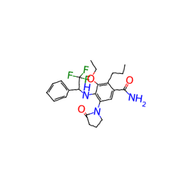 CCCc1c(C(N)=O)cc(N2CCCC2=O)c(NC(c2ccccc2)C(F)(F)F)c1OCC